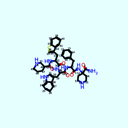 NC(=O)C1(NC(=O)C(Cc2ccccc2)NC(=O)C(Cc2c[nH]c3ccccc23)NC(=O)C(Cc2csc3ccccc23)NC(=O)C2CCCNC2)CCNCC1